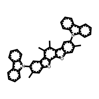 Cc1cc2oc3c4oc5cc(C)c(-n6c7ccccc7c7ccccc76)cc5c4c(C)c(C)c3c2cc1-n1c2ccccc2c2ccccc21